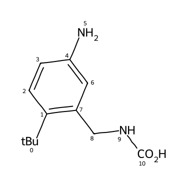 CC(C)(C)c1ccc(N)cc1CNC(=O)O